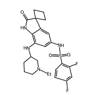 CCN1CCCC(Nc2cc(NS(=O)(=O)c3ccc(F)cc3F)cc3c2NC(=O)C32CCC2)C1